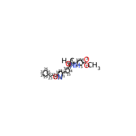 COC(=O)c1ccc([C@H](C)NC(=O)C2CCC(c3ccc(OCCC4CCCCC4)nc3)C2)cc1